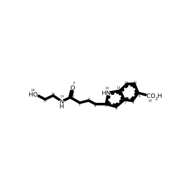 O=C(CCCc1cc2cc(C(=O)O)ccc2[nH]1)NCCO